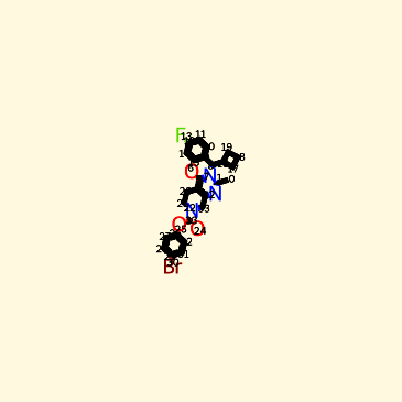 Cc1nc2c(c(=O)n1C(c1ccc(F)cc1)C1CCC1)CCN(C(=O)Oc1ccc(Br)cc1)C2